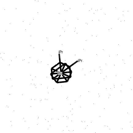 CC(C)[C]12[CH]3[CH]4[CH]5[C]1(C(C)C)[Ru]43521678[CH]2[CH]1[CH]6[CH]7[CH]28